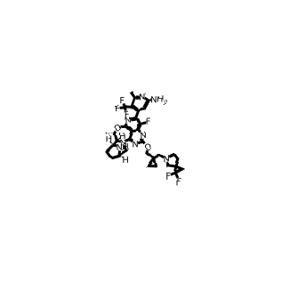 Cc1nc(N)cc(-c2nc3c4c(nc(OCC5(CN6CCC7(C6)CC7(F)F)CC5)nc4c2F)N2C[C@H]4CC[C@H](N4)[C@H]2[C@H](C)O3)c1C(F)(F)F